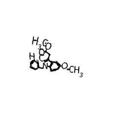 CCOc1ccc2c(c1)c(CC(=O)OC)c(C)n2Cc1ccccc1